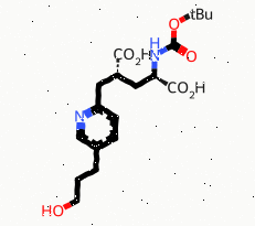 CC(C)(C)OC(=O)N[C@H](C[C@H](Cc1ccc(CCCO)cn1)C(=O)O)C(=O)O